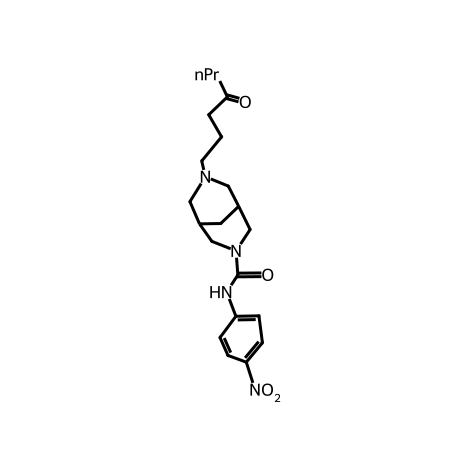 CCCC(=O)CCCN1CC2CC(C1)CN(C(=O)Nc1ccc([N+](=O)[O-])cc1)C2